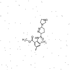 COC(=O)c1cc(F)cc(C)c1NC(=O)C1CCC(N2CCNC2)N=N1